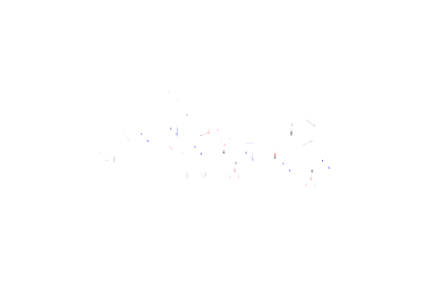 CCCCC(NC(=O)C1C2CC(C3CC32)N1C(=O)C(NC(=O)OC(C)(C)C)C1CCCCC1)C(=O)C(=O)NCC(=O)NC(C(=O)N(C)C)c1ccccc1